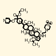 C=C(C)[C@@H]1CC[C@]2(NCCN3CCS(=O)(=O)CC3)CC[C@]3(C)[C@H](CCC4[C@@]5(C)CC=C(C6=CCC(COc7ccncc7)(C(=O)OCC)CC6)C(C)(C)C5CC[C@]43C)[C@@H]12